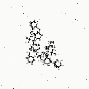 Cc1ncccc1CN1CCN([C@H](C(=O)N[C@@H](Cc2ccccc2)[C@@H](O)C[C@H](Cc2ccc(-c3ccccn3)cc2)NC(=O)[C@@H](NC(=O)O)C(C)(C)C)C(C)(C)C)C1=O